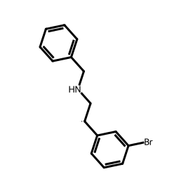 Brc1cccc([CH]CNCc2ccccc2)c1